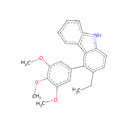 CCc1ccc2[nH]c3ccccc3c2c1-c1cc(OC)c(OC)c(OC)c1